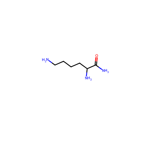 NCCCCC(N)C(N)=O